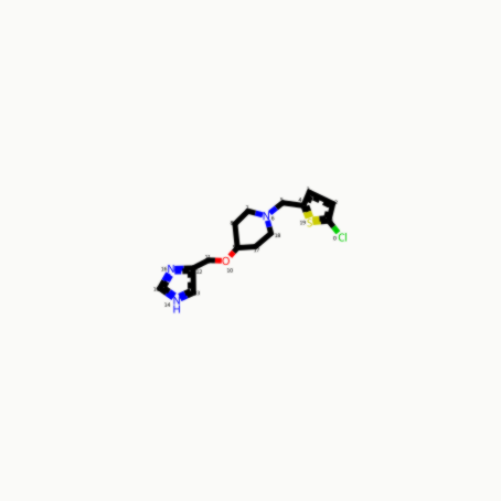 Clc1ccc(CN2CCC(OCc3c[nH]cn3)CC2)s1